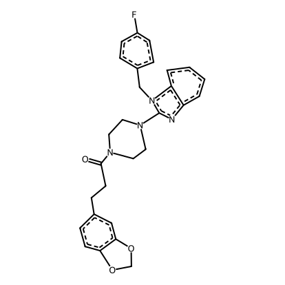 O=C(CCc1ccc2c(c1)OCO2)N1CCN(c2nc3ccccc3n2Cc2ccc(F)cc2)CC1